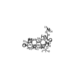 CC(C)[C@@H]1CC[C@]2(C(=O)NCCN(C)C)CC[C@]3(C)[C@H](CC[C@@H]4[C@@]5(C)CCC(=O)C(C)(C)[C@@H]5CC[C@]43C)[C@@H]12